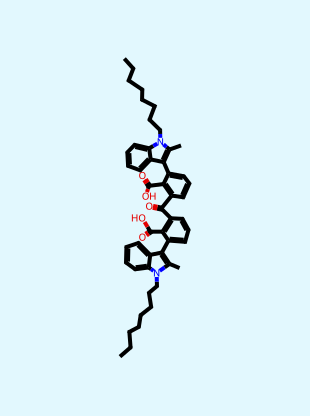 CCCCCCCCn1c(C)c(-c2cccc(C(=O)c3cccc(-c4c(C)n(CCCCCCCC)c5ccccc45)c3C(=O)O)c2C(=O)O)c2ccccc21